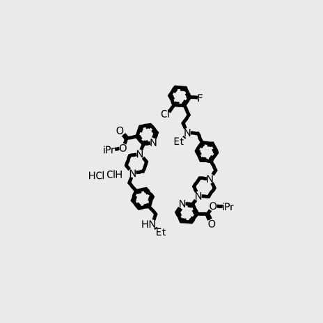 CCN(CCc1c(F)cccc1Cl)Cc1ccc(CN2CCN(c3ncccc3C(=O)OC(C)C)CC2)cc1.CCNCc1ccc(CN2CCN(c3ncccc3C(=O)OC(C)C)CC2)cc1.Cl.Cl